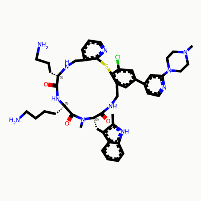 Cc1[nH]c2ccccc2c1C[C@H]1C(=O)NCc2cc(-c3ccnc(N4CCN(C)CC4)c3)cc(Cl)c2Sc2ncccc2CN[C@@H](CCCN)C(=O)N[C@@H](CCCCN)C(=O)N1C